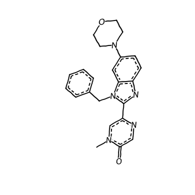 Cn1cc(-c2nc3ccc(N4CCOCC4)cc3n2Cc2ccccc2)ncc1=O